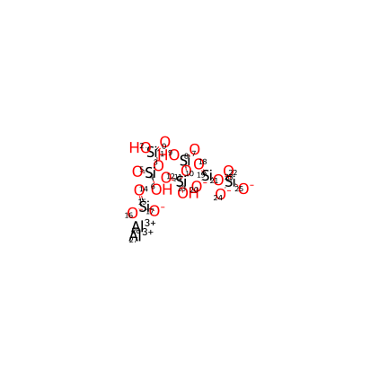 O=[Si](O)O[Si](=O)O.O=[Si](O)O[Si](=O)O.O=[Si]([O-])[O-].O=[Si]([O-])[O-].O=[Si]([O-])[O-].[Al+3].[Al+3]